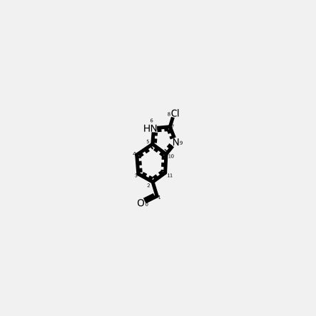 O=Cc1ccc2[nH]c(Cl)nc2c1